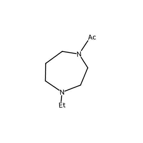 [CH2]C(=O)N1CCCN(CC)CC1